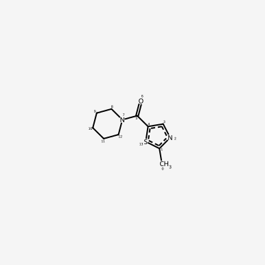 Cc1ncc(C(=O)N2CCCCC2)s1